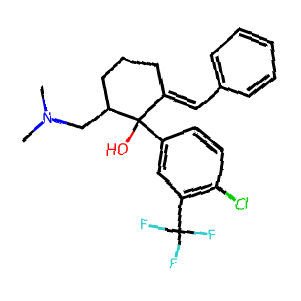 CN(C)CC1CCCC(=Cc2ccccc2)C1(O)c1ccc(Cl)c(C(F)(F)F)c1